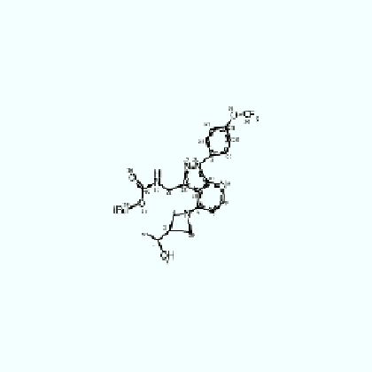 CC(O)C1CN(c2ccnc3c2c(CNC(=O)OC(C)(C)C)nn3-c2ccc(OC(F)(F)F)cc2)C1